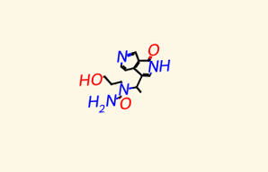 CC(c1c[nH]c(=O)c2cnccc12)N(CCCO)C(N)=O